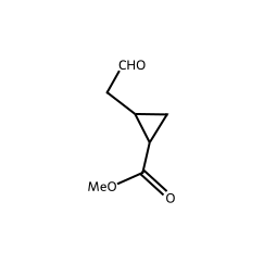 COC(=O)C1CC1CC=O